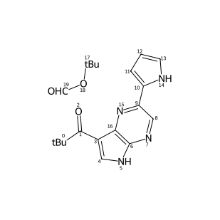 CC(C)(C)C(=O)c1c[nH]c2ncc(-c3ccc[nH]3)nc12.CC(C)(C)OC=O